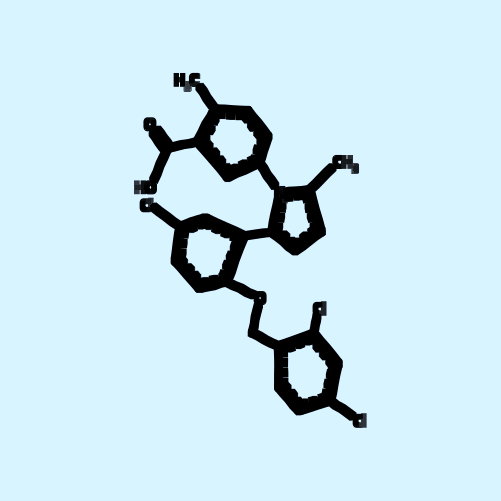 Cc1ccc(-n2c(C)ccc2-c2cc(Cl)ccc2OCc2ccc(Cl)cc2Cl)cc1C(=O)O